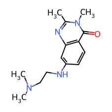 Cc1nc2cc(NCCN(C)C)ccc2c(=O)n1C